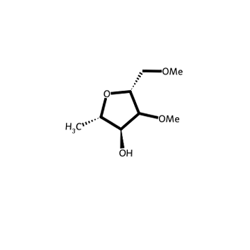 COC[C@H]1O[C@@H](C)[C@H](O)C1OC